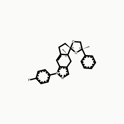 C[C@]12Cc3cnn(-c4ccc(F)cc4)c3C=C1CC[C@]21OC[C@@](C)(c2ccccc2)O1